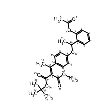 CC(=O)Oc1ccccc1C(C)Oc1ccc(C(C)=C(C(=O)ON)C(=O)OC(C)(C)C)cc1